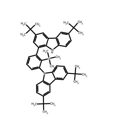 CC(C)(C)c1ccc2[nH]c3c(-c4cccc(-n5c6ccc(C(C)(C)C)cc6c6cc(C(C)(C)C)ccc65)c4[Si](C)(C)C)cc(C(C)(C)C)cc3c2c1